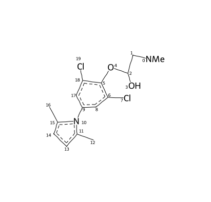 CNCC(O)Oc1c(Cl)cc(-n2c(C)ccc2C)cc1Cl